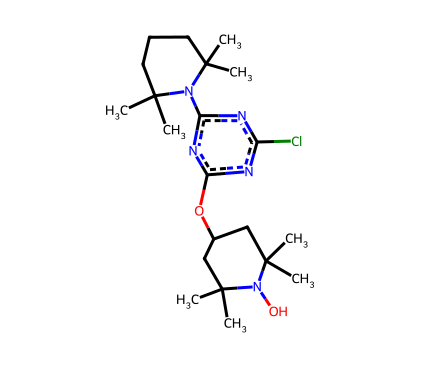 CC1(C)CC(Oc2nc(Cl)nc(N3C(C)(C)CCCC3(C)C)n2)CC(C)(C)N1O